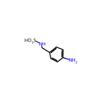 Nc1ccc(CNS(=O)(=O)O)cc1